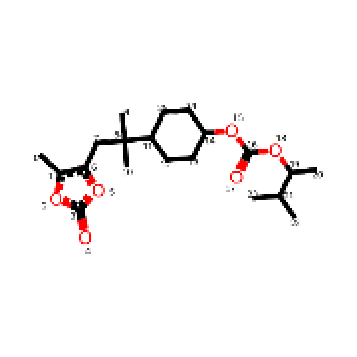 Cc1oc(=O)oc1CC(C)(C)C1CCC(OC(=O)OC(C)C(C)C)CC1